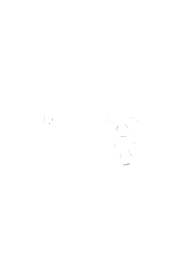 CCCCCCCCCc1c(O)c(O)cc2c1Oc1ccccc1O2